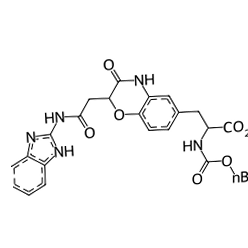 CCCCOC(=O)NC(Cc1ccc2c(c1)NC(=O)C(CC(=O)Nc1nc3ccccc3[nH]1)O2)C(=O)O